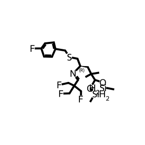 C[SiH2]OC(O[SiH2]C)C(C)(C)C[C@H](CSCc1ccc(F)cc1)N=CC(CF)(CF)CF